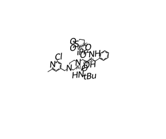 Cc1cc(CN2CCN(C[C@@H](O)[C@H](Cc3ccccc3)NC(=O)O[C@@H]3CCS(=O)(=O)[C@@H]3C(C)C)[C@H](C(=O)NC(C)(C)C)C2)cc(Cl)n1